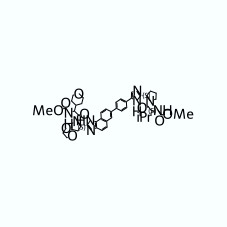 COC(=O)NC(C(=O)N1CC2(C[C@H]1c1nc3ccc4cc(-c5ccc(-c6cnc([C@@H]7CCCN7C(=O)[C@@H](NC(=O)OC)C(C)C)[nH]6)cc5)ccc4c3[nH]1)OCCO2)C1CCOCC1